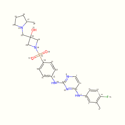 Cc1cc(Nc2ccnc(Nc3ccc(S(=O)(=O)N4CC(O)(CN5CCCC5C)C4)cc3)n2)ccc1F